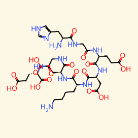 NCCCC[C@H](NC(=O)[C@H](CC(=O)O)NC(=O)[C@H](CCC(=O)O)NC(=O)CNC(=O)[C@@H](N)Cc1c[nH]cn1)C(=O)N[C@@H](CCC(=O)O)C(=O)NCC(=O)N[C@@H](CCC(=O)O)C(=O)O